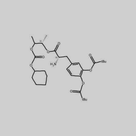 CC(OC(=O)OC1CCCCC1)[C@H](C)OC(=O)[C@@H](N)Cc1ccc(OC(=O)C(C)(C)C)c(OC(=O)C(C)(C)C)c1